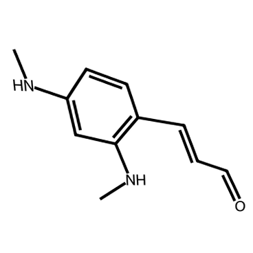 CNc1ccc(C=CC=O)c(NC)c1